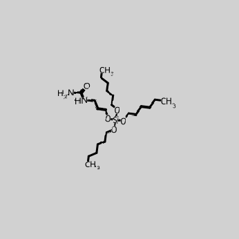 CCCCCCO[Si](OCCCCCC)(OCCCCCC)OCCCNC(N)=O